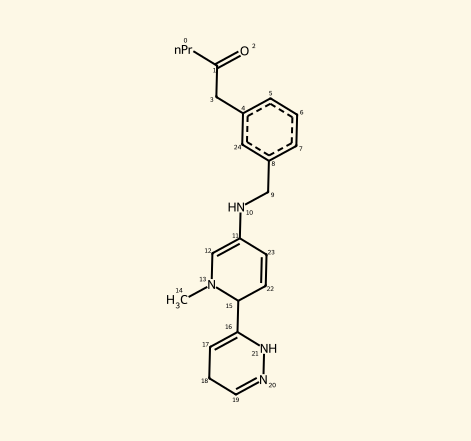 CCCC(=O)Cc1cccc(CNC2=CN(C)C(C3=CCC=NN3)C=C2)c1